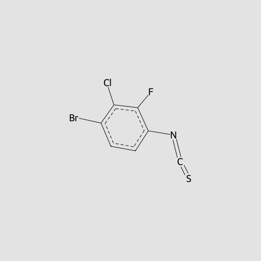 Fc1c(N=C=S)ccc(Br)c1Cl